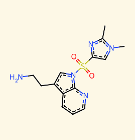 Cc1nc(S(=O)(=O)n2cc(CCN)c3cccnc32)cn1C